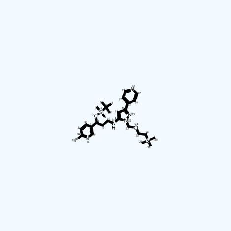 CC(C)(C)[Si](C)(C)OC(CCNc1cc(-c2ccncc2)nn1COCC[Si](C)(C)C)c1ccc(F)nc1